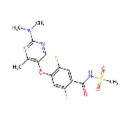 Cc1nc(N(C)C)ncc1Oc1cc(F)c(C(=O)NS(C)(=O)=O)cc1F